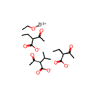 CC(=O)C(C(=O)[O-])C(C)C.CCC(C(C)=O)C(=O)[O-].CCC(C(C)=O)C(=O)[O-].CC[O][Zr+3]